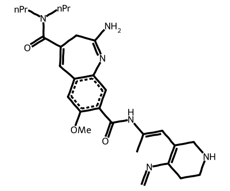 C=NC1=C(/C=C(\C)NC(=O)c2cc3c(cc2OC)C=C(C(=O)N(CCC)CCC)CC(N)=N3)CNCC1